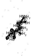 N=C(N)NCCC[C@H](NC(=O)[C@@H]1CCCN1C(=O)[C@H](CS)NC(=O)[C@H](CC(N)=O)NC(=O)[C@H](CCC(N)=O)NC(=O)[C@H](Cc1ccccc1)NC(=O)[C@H](Cc1ccc(O)cc1)NC(=O)[C@H](CS)NC(=O)[C@H](N)Cc1ccccc1)C(=O)NCC(=O)O